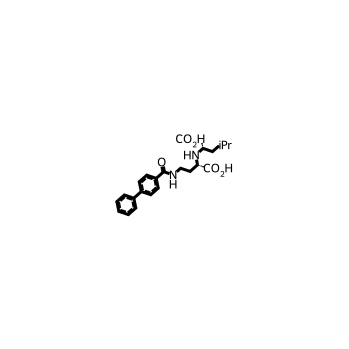 CC(C)C[C@H](N[C@@H](CCNC(=O)c1ccc(-c2ccccc2)cc1)C(=O)O)C(=O)O